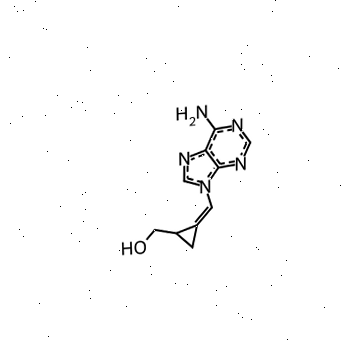 Nc1ncnc2c1ncn2C=C1CC1CO